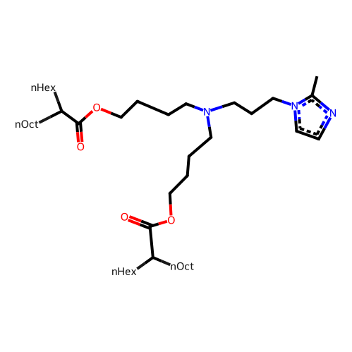 CCCCCCCCC(CCCCCC)C(=O)OCCCCN(CCCCOC(=O)C(CCCCCC)CCCCCCCC)CCCn1ccnc1C